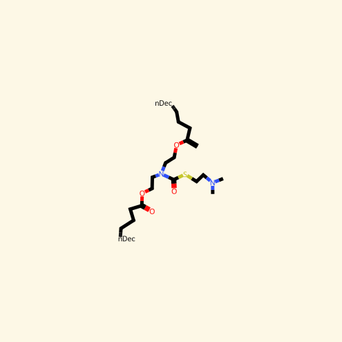 C=C(CCCCCCCCCCCCC)OCCN(CCOC(=O)CCCCCCCCCCCCC)C(=O)SCCN(C)C